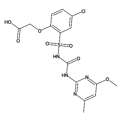 COc1cc(C)nc(NC(=O)NS(=O)(=O)c2cc(Cl)ccc2OCC(=O)O)n1